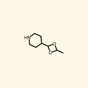 CC1OC(C2CCNCC2)O1